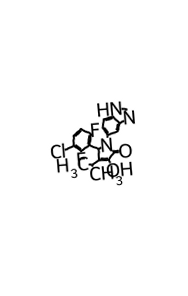 CC(C)C1=C(O)C(=O)N(c2ccc3[nH]cnc3c2)C1c1c(F)ccc(Cl)c1F